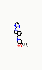 CC1(O)CCN(Cc2cccc3c2ccn3-c2ncccn2)CC1